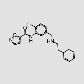 O=C(Nc1cc(CNCCC2C=CC=CC2)ccc1Cl)c1ccno1